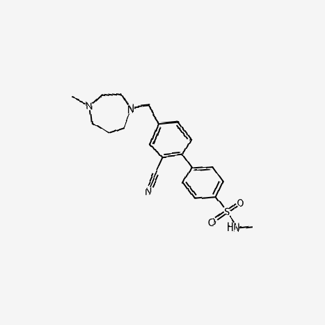 CNS(=O)(=O)c1ccc(-c2ccc(CN3CCCN(C)CC3)cc2C#N)cc1